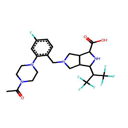 CC(=O)N1CCN(c2cc(F)ccc2CN2CC3C(C(=O)O)NC(C(C(F)(F)F)C(F)(F)F)C3C2)CC1